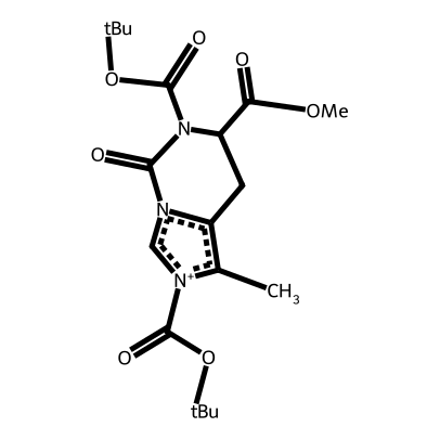 COC(=O)C1Cc2c(C)[n+](C(=O)OC(C)(C)C)cn2C(=O)N1C(=O)OC(C)(C)C